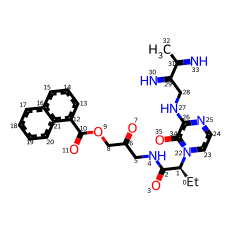 CC[C@@H](C(=O)NCC(=O)COC(=O)c1cccc2ccccc12)n1ccnc(NCC(=N)C(C)=N)c1=O